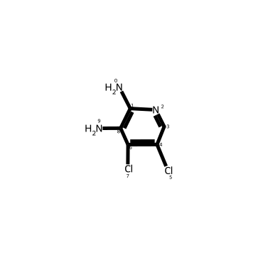 Nc1ncc(Cl)c(Cl)c1N